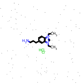 CCn1c[n+](CC)c2ccc(CCCN)cc21.Cl.[Cl-]